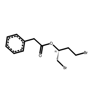 O=C(Cc1ccccc1)O[C@@H](CBr)CCBr